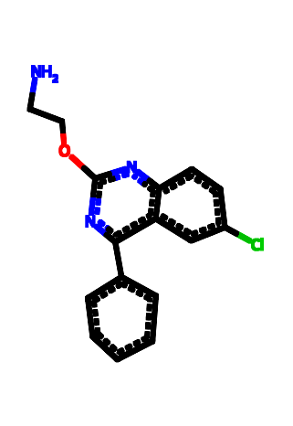 NCCOc1nc(-c2ccccc2)c2cc(Cl)ccc2n1